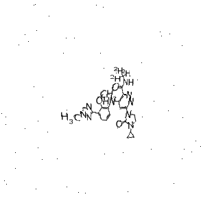 [2H]C([2H])([2H])NC(=O)c1nnc(N2CCN(C3CC3)C2=O)cc1Nc1cccc(-c2ncn(C)n2)c1OC